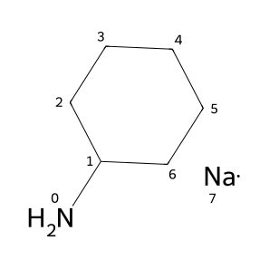 NC1CCCCC1.[Na]